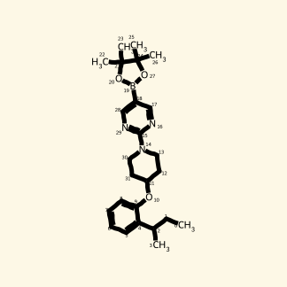 CCC(C)c1ccccc1OC1CCN(c2ncc(B3OC(C)(C)C(C)(C)O3)cn2)CC1